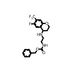 O=C(NCCNC1CCOc2cc(C(F)(F)F)c(F)cc21)OCc1ccccc1